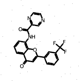 O=C(Nc1cccc2c(=O)cc(-c3cccc(C(F)(F)F)c3)oc12)c1cnccn1